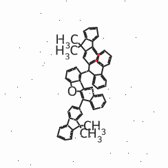 CC1(C)c2ccccc2-c2ccc(-c3c4ccccc4cc4c3oc3cccc(C(c5ccc6c(c5)C(C)(C)c5ccccc5-6)c5ccccc5-c5ccccc5)c34)cc21